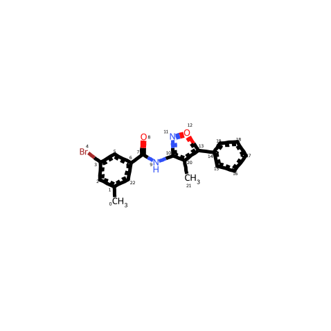 Cc1cc(Br)cc(C(=O)Nc2noc(-c3ccccc3)c2C)c1